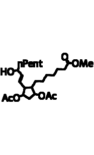 CCCCCC(O)C=CC1C(OC(C)=O)CC(OC(C)=O)C1CCCCCCC(=O)OC